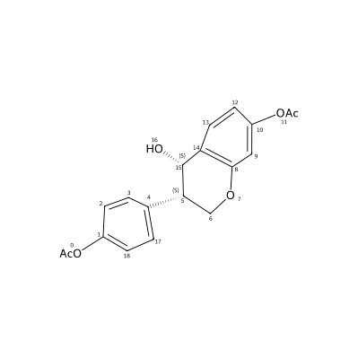 CC(=O)Oc1ccc([C@H]2COc3cc(OC(C)=O)ccc3[C@H]2O)cc1